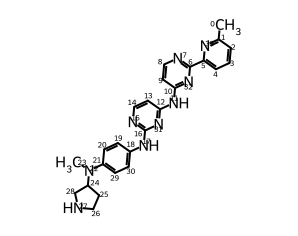 Cc1cccc(-c2nccc(Nc3ccnc(Nc4ccc(N(C)C5CCNC5)cc4)n3)n2)n1